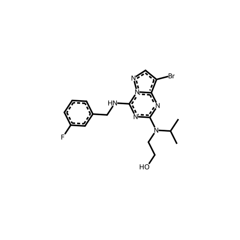 CC(C)N(CCO)c1nc(NCc2cccc(F)c2)n2ncc(Br)c2n1